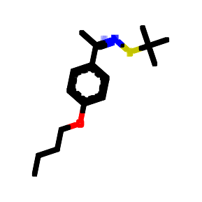 CCCCOc1ccc(/C(C)=N\SC(C)(C)C)cc1